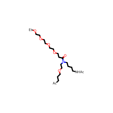 CCOCCOCCOCCOCCC(=O)N(CCCCNC(C)=O)CCOCCCC(C)=O